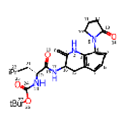 C=C1Nc2c(cccc2N2CCCC2=O)CC1NC(=O)[C@@H](CC(C)C)NC(=O)OC(C)(C)C